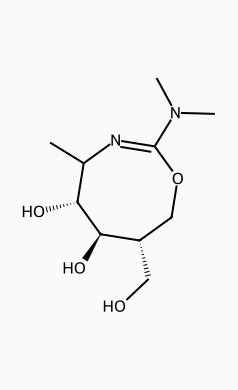 CC1/N=C(/N(C)C)OC[C@H](CO)[C@@H](O)[C@@H]1O